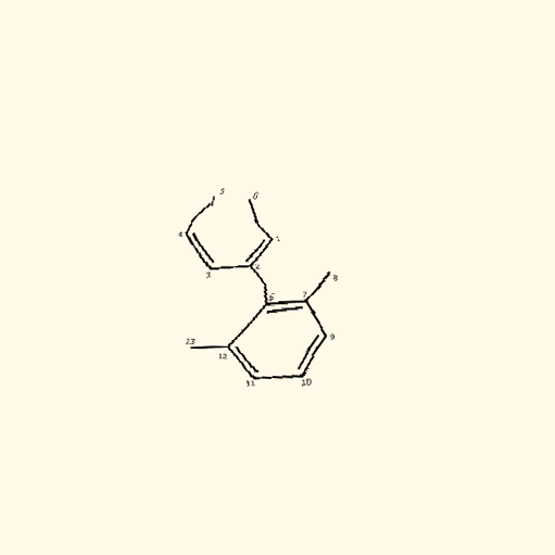 C/C=C(\C=C/I)c1c(C)cccc1C